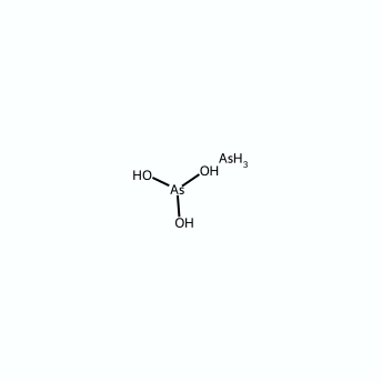 O[As](O)O.[AsH3]